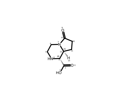 O=C(O)[C@@H]1NCCN2C(=O)CC[C@@H]12